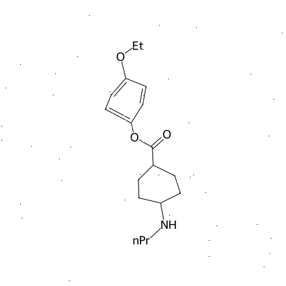 CCCNC1CCC(C(=O)Oc2ccc(OCC)cc2)CC1